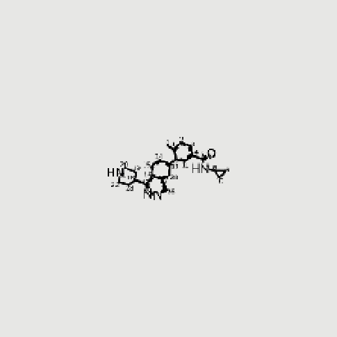 Cc1ccc(C(=O)NC2CC2)cc1-c1ccc2c(C3CCNCC3)nncc2c1